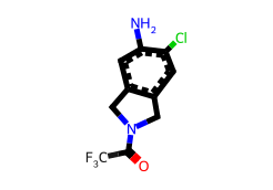 Nc1cc2c(cc1Cl)CN(C(=O)C(F)(F)F)C2